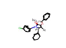 CC(=O)C1=C(O[C@@H](C(=O)O)c2ccccc2)C(=O)N(c2ccc(Cl)cc2)[C@@H]1C1CCCCC1